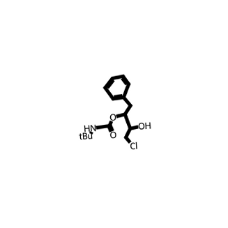 CC(C)(C)NC(=O)OC(Cc1ccccc1)C(O)CCl